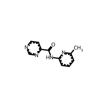 Cc1cccc(NC(=O)c2ccncn2)n1